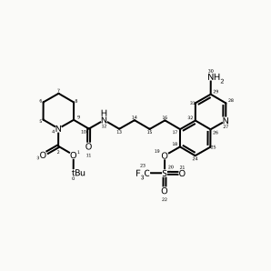 CC(C)(C)OC(=O)N1CCCCC1C(=O)NCCCCc1c(OS(=O)(=O)C(F)(F)F)ccc2ncc(N)cc12